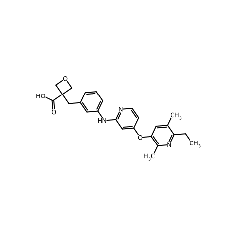 CCc1nc(C)c(Oc2ccnc(Nc3cccc(CC4(C(=O)O)COC4)c3)c2)cc1C